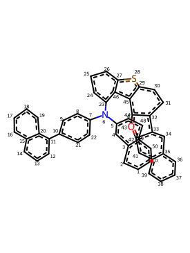 c1ccc2cc(N(c3ccc(-c4cccc5ccccc45)cc3)c3cccc4sc5ccc6c7cc8ccccc8cc7oc6c5c34)ccc2c1